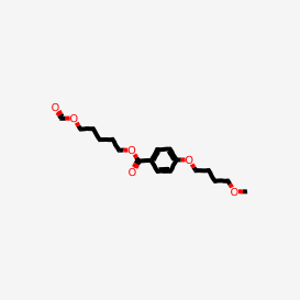 COCCCCOc1ccc(C(=O)OCCCCCOC=O)cc1